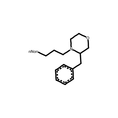 CCCCCCCCCCCCN1CCOCC1Cc1ccccc1